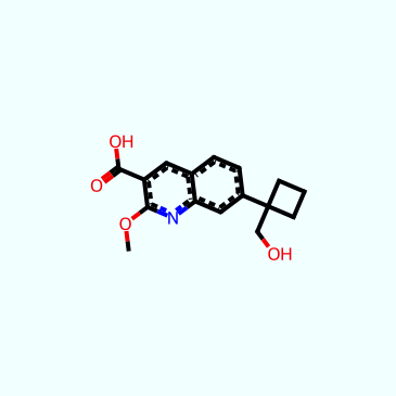 COc1nc2cc(C3(CO)CCC3)ccc2cc1C(=O)O